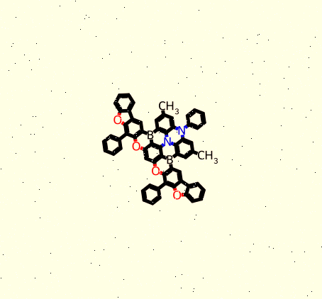 Cc1cc2c3c(c1)N(c1ccccc1)c1cc(C)cc4c1N3c1c3c(cc5c1B4c1cc4c(oc6ccccc64)c(-c4ccccc4)c1O5)Oc1c(cc4c(oc5ccccc54)c1-c1ccccc1)B23